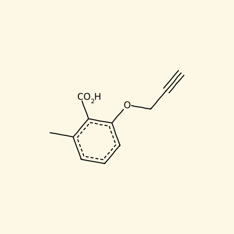 C#CCOc1cccc(C)c1C(=O)O